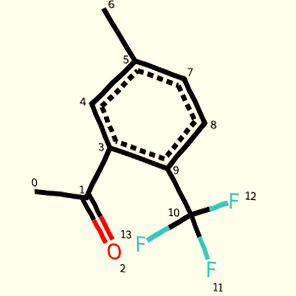 CC(=O)c1cc(C)ccc1C(F)(F)F